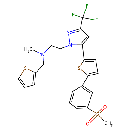 CN(CCn1nc(C(F)(F)F)cc1-c1ccc(-c2cccc(S(C)(=O)=O)c2)s1)Cc1cccs1